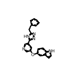 c1ccc(Cc2nnc(-c3cncc(Oc4ccc5[nH]ccc5c4)c3)[nH]2)cc1